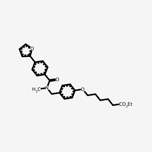 CCOC(=O)CCCCCOc1ccc(CN(C)C(=O)c2ccc(-c3ccco3)cc2)cc1